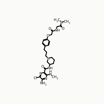 CNc1nc(N)c(Cl)nc1C(=O)NC1CCCN(CCCc2ccc(OCC(=O)NCC(=O)N(C)C)cc2)C1